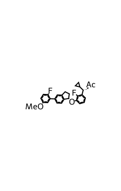 COc1ccc(F)c(-c2ccc3c(c2)CC[C@H]3Oc2cccc([C@@H](CC(C)=O)C3CC3)c2F)c1